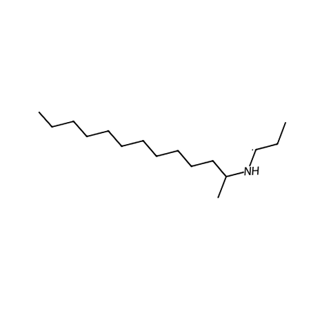 CC[CH]NC(C)CCCCCCCCCCC